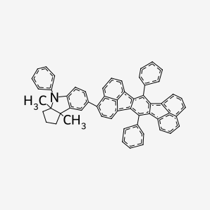 CC12CCCC1(C)N(c1ccccc1)c1ccc(-c3ccc4c5c(-c6ccccc6)c6c7cccc8cccc(c6c(-c6ccccc6)c5c5cccc3c54)c87)cc12